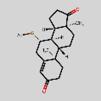 CC(=O)S[C@H]1CC2=CC(=O)CC[C@]2(C)[C@H]2CC[C@]3(C)C(=O)CC[C@H]3[C@H]12